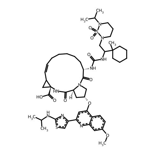 COc1ccc2c(O[C@@H]3C[C@H]4C(=O)N[C@]5(C(=O)O)CC5/C=C\CCCCC[C@H](NC(=O)NC(CN5CCCN(C(C)C)S5(=O)=O)C5(C)CCCCC5)C(=O)N4C3)cc(-c3csc(NC(C)C)n3)nc2c1